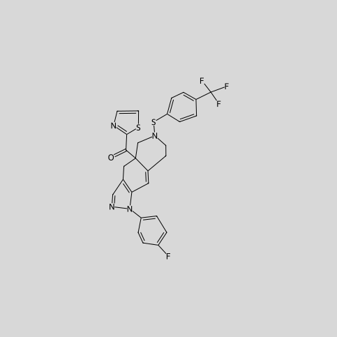 O=C(c1nccs1)C12Cc3cnn(-c4ccc(F)cc4)c3C=C1CCN(Sc1ccc(C(F)(F)F)cc1)C2